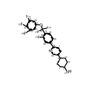 CCCC1CCC(c2ccc(-c3ccc(C(F)(F)Oc4cc(F)c(F)c(F)c4)c(F)c3)nc2)CC1